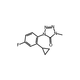 Cn1nnn(-c2ccc(F)cc2C2CC2)c1=O